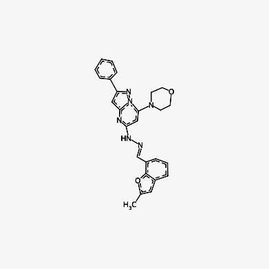 Cc1cc2cccc(C=NNc3cc(N4CCOCC4)n4nc(-c5ccccc5)cc4n3)c2o1